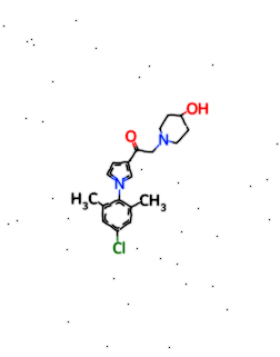 Cc1cc(Cl)cc(C)c1-n1ccc(C(=O)CN2CCC(O)CC2)c1